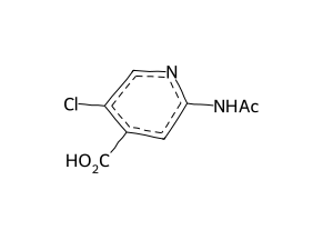 CC(=O)Nc1cc(C(=O)O)c(Cl)cn1